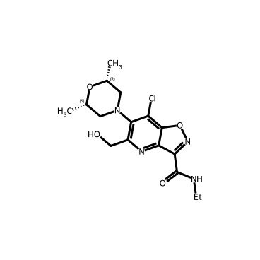 CCNC(=O)c1noc2c(Cl)c(N3C[C@@H](C)O[C@@H](C)C3)c(CO)nc12